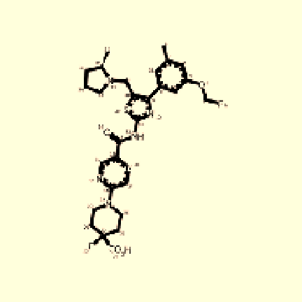 Cc1cc(OCF)cc(-c2nc(NC(=O)c3cnc(N4CCC(F)(C(=O)O)CC4)cn3)sc2CN2CCC[C@H]2C)c1